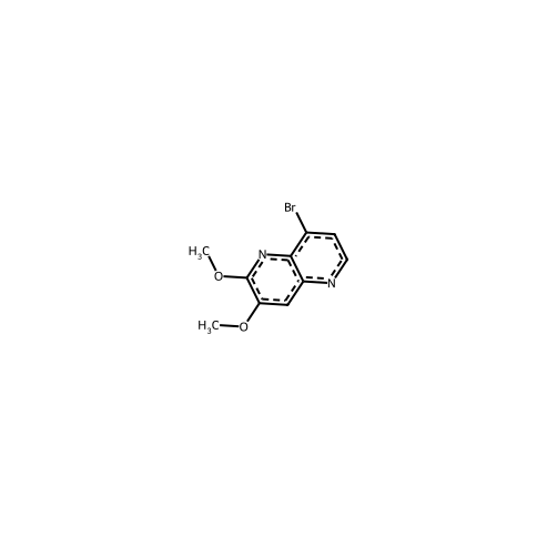 COc1cc2nccc(Br)c2nc1OC